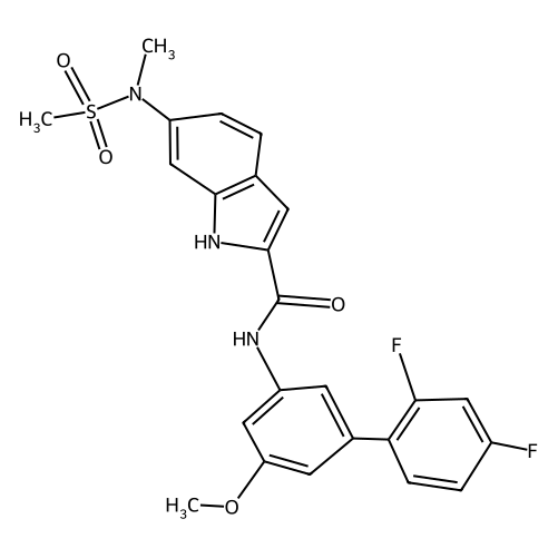 COc1cc(NC(=O)c2cc3ccc(N(C)S(C)(=O)=O)cc3[nH]2)cc(-c2ccc(F)cc2F)c1